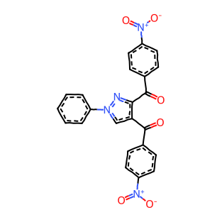 O=C(c1ccc([N+](=O)[O-])cc1)c1cn(-c2ccccc2)nc1C(=O)c1ccc([N+](=O)[O-])cc1